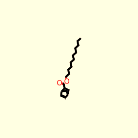 CCCCCCCCCCCCOC(=O)C1CC2[C]=CC1C2